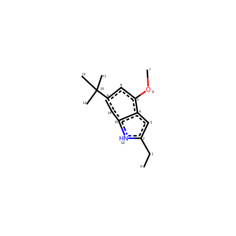 CCc1cc2c(OC)cc(C(C)(C)C)cc2[nH]1